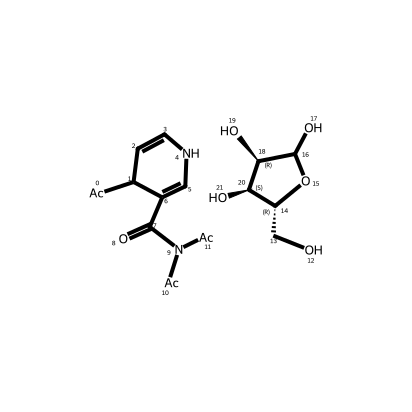 CC(=O)C1C=CNC=C1C(=O)N(C(C)=O)C(C)=O.OC[C@H]1OC(O)[C@H](O)[C@@H]1O